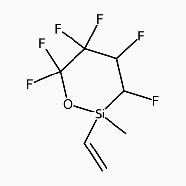 C=C[Si]1(C)OC(F)(F)C(F)(F)C(F)C1F